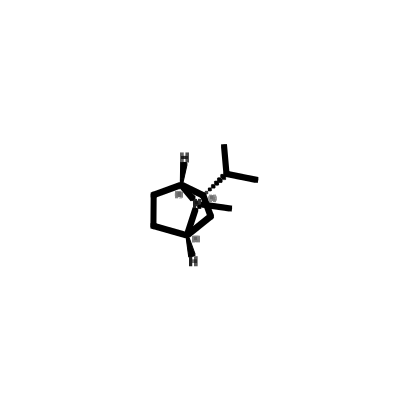 CC(C)[C@@H]1C[C@@H]2CC[C@H]1N2C